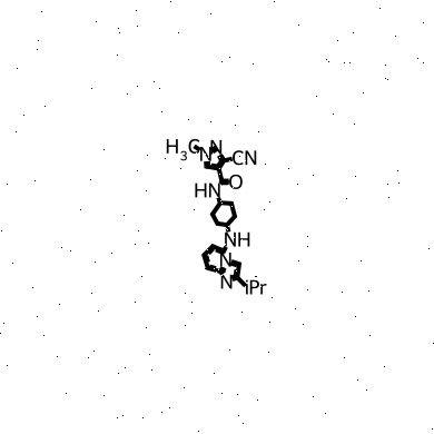 CC(C)c1cn2c(NC3CCC(NC(=O)c4cn(C)nc4C#N)CC3)cccc2n1